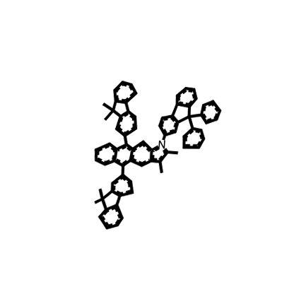 Cc1c(C)n(-c2ccc3c(c2)C(c2ccccc2)(c2ccccc2)c2ccccc2-3)c2cc3c(-c4ccc5c(c4)C(C)(C)c4ccccc4-5)c4ccccc4c(-c4ccc5c(c4)C(C)(C)c4ccccc4-5)c3cc12